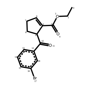 CCOC(=O)C1=CCCC1C(=O)c1cccc(Br)c1